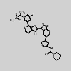 CS(=O)(=O)C(N)c1cc(F)cc(-c2nccc3[nH]c(-c4n[nH]c5ccc(-c6cncc(NC(=O)C7CCCCC7)c6)cc45)nc23)c1